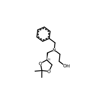 CC1(C)OC[C@H](CN(CCO)Cc2ccccc2)O1